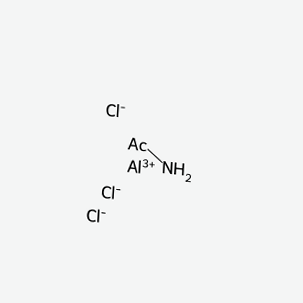 CC(N)=O.[Al+3].[Cl-].[Cl-].[Cl-]